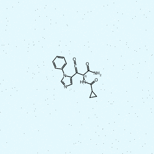 NC(=O)[C@@H](NC(=O)C1CC1)C(=C=O)c1cncn1-c1ccccc1